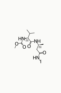 COC(=O)N[C@H](C(=O)N[C@@H](C)CC(=O)NI)C(C)C